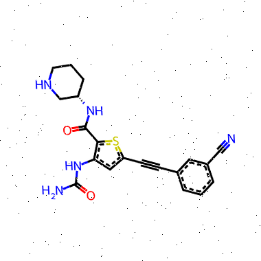 N#Cc1cccc(C#Cc2cc(NC(N)=O)c(C(=O)N[C@H]3CCCNC3)s2)c1